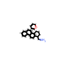 C1=CCOC=C1.NCC1CCCc2c1ccc1c2ccc2ccccc21